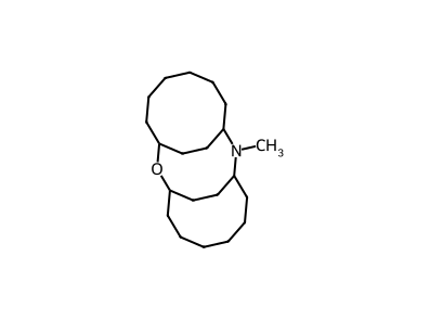 CN1C2CCCCCCC(CC2)OC2CCCCCCC1CC2